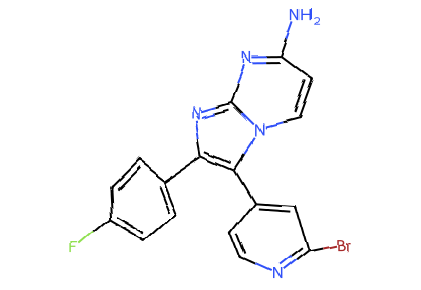 Nc1ccn2c(-c3ccnc(Br)c3)c(-c3ccc(F)cc3)nc2n1